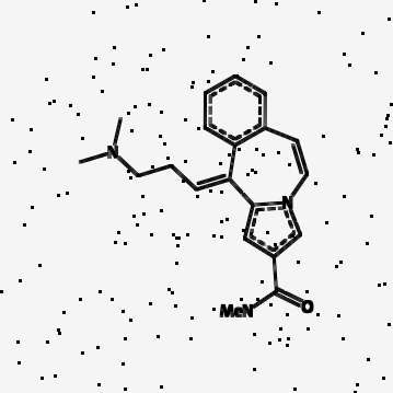 CNC(=O)c1cc2n(c1)C=Cc1ccccc1C2=CCCN(C)C